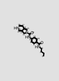 CCCCNC(=O)c1ccc(NC(=O)N2C=C3C=CNC=C3C2)cc1